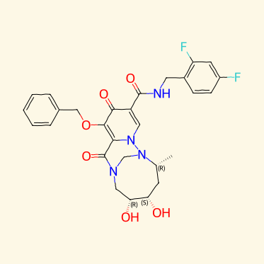 C[C@@H]1C[C@H](O)[C@H](O)CN2CN1n1cc(C(=O)NCc3ccc(F)cc3F)c(=O)c(OCc3ccccc3)c1C2=O